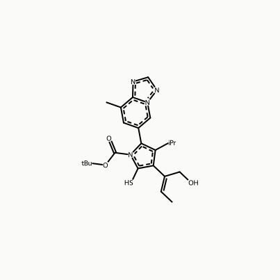 C/C=C(\CO)c1c(C(C)C)c(-c2cc(C)c3ncnn3c2)n(C(=O)OC(C)(C)C)c1S